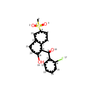 CS(=O)(=O)c1ccc2c(C(=O)c3ccccc3F)c(O)ccc2c1